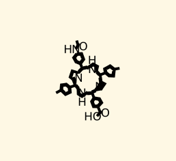 CC(=O)Nc1ccc(-c2c3nc(c(-c4ccc(C)cc4)c4ccc([nH]4)c(-c4ccc(C(=O)O)cc4)c4nc(c(-c5ccc(C)cc5)c5ccc2[nH]5)C=C4)C=C3)cc1